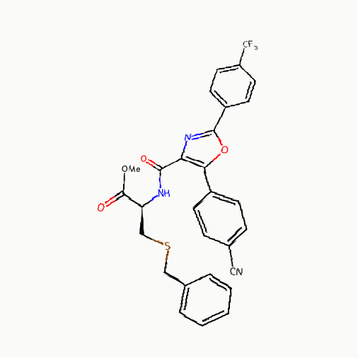 COC(=O)[C@H](CSCc1ccccc1)NC(=O)c1nc(-c2ccc(C(F)(F)F)cc2)oc1-c1ccc(C#N)cc1